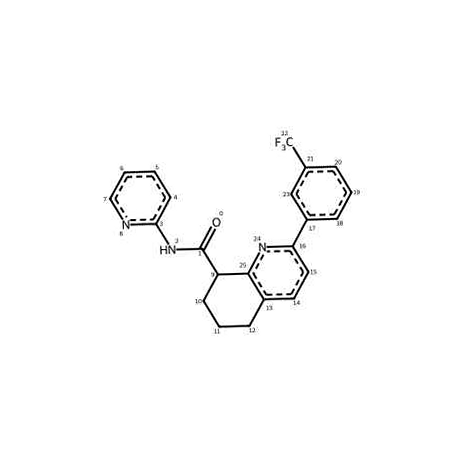 O=C(Nc1ccccn1)C1CCCc2ccc(-c3cccc(C(F)(F)F)c3)nc21